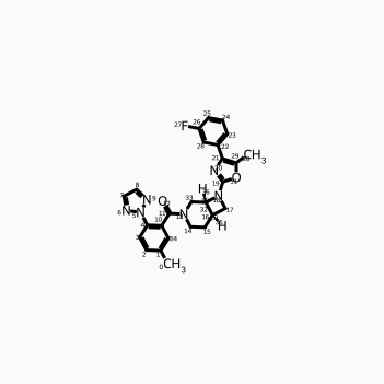 Cc1ccc(-n2nccn2)c(C(=O)N2CC[C@H]3CN(c4nc(-c5cccc(F)c5)c(C)o4)[C@H]3C2)c1